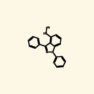 CCCNc1cccc2c1c(-c1ccccc1)nn2-c1ccccc1